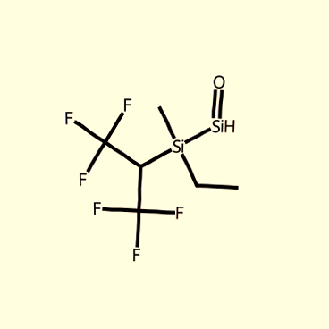 CC[Si](C)([SiH]=O)C(C(F)(F)F)C(F)(F)F